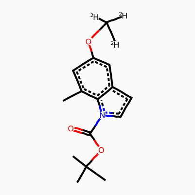 [2H]C([2H])([2H])Oc1cc(C)c2c(ccn2C(=O)OC(C)(C)C)c1